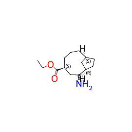 CCOC(=O)[C@H]1CCC[C@H]2CC[C@H](C2)[C@@H](N)C1